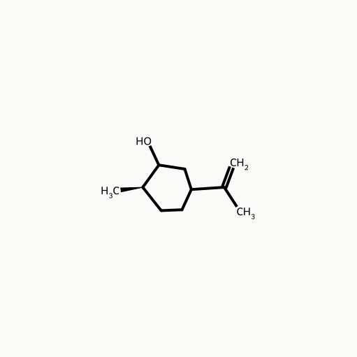 C=C(C)C1CC[C@@H](C)C(O)C1